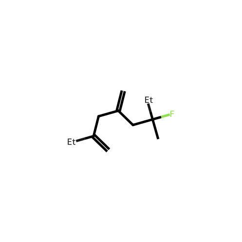 C=C(CC)CC(=C)CC(C)(F)CC